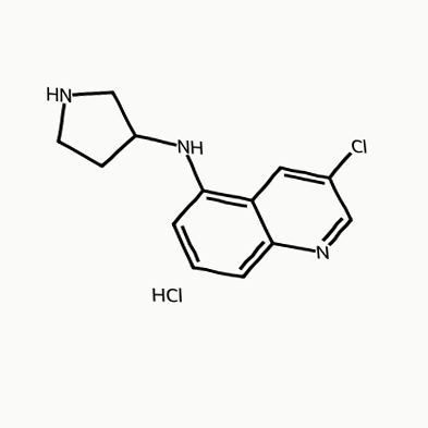 Cl.Clc1cnc2cccc(NC3CCNC3)c2c1